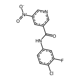 O=C(Nc1ccc(Cl)c(F)c1)c1cncc([N+](=O)[O-])c1